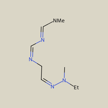 CCN(C)/N=C\C/N=C\N=C\NC